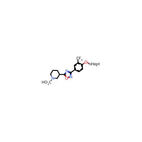 CCCCCCCOc1ccc(-c2noc(C3CCCN(C(=O)O)C3)n2)cc1C(F)(F)F